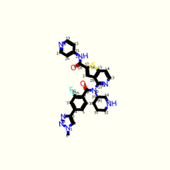 Cn1cc(-c2ccc(C(=O)N(c3nccc4sc(C(=O)Nc5ccncc5)cc34)[C@@H]3CCCNC3)c(F)c2)nn1